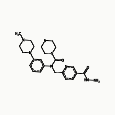 CN1CCN(c2cccc(N(Cc3ccc(C(=O)NN)cn3)C(=O)N3CCSCC3)c2)CC1